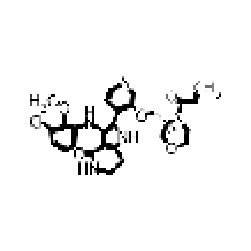 C=CC(=O)N1CCOC[C@@H]1COc1cnccc1-c1[nH]c2c(c1Nc1cccc(Cl)c1OC)C(=O)NCC2